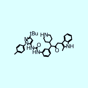 Cc1ccc(-n2nc(C(C)(C)C)cc2NC(=O)Nc2cccc(C(C(=O)Cc3c(C)[nH]c4ccccc34)C3CCNCC3)c2)cc1